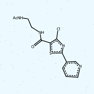 CC(=O)NCCNC(=O)c1sc(-c2cccnc2)nc1Cl